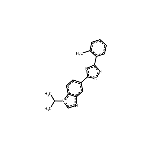 Cc1ccccc1-c1noc(-c2ccc3c(c2)ncn3C(C)C)n1